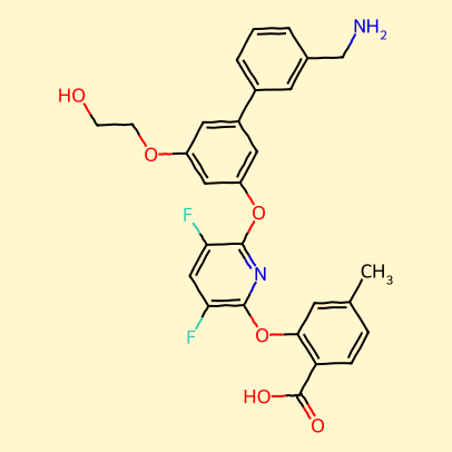 Cc1ccc(C(=O)O)c(Oc2nc(Oc3cc(OCCO)cc(-c4cccc(CN)c4)c3)c(F)cc2F)c1